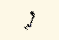 CC(/C=C/CCCCCCCOc1ccc2ccccc2c1)=C(\F)C(=O)NCC(C)C